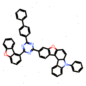 C1=CC2C(c3ccccc3N2c2ccccc2)c2c1oc1cc(-c3nc(-c4ccc(-c5ccccc5)cc4)nc(-c4cccc5oc6ccccc6c45)n3)ccc21